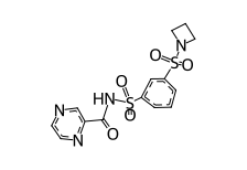 O=C(NS(=O)(=O)c1cccc(S(=O)(=O)N2CCC2)c1)c1cnccn1